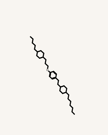 CCCCCCCC1CCC(CCc2ccc(OCCCC3CCC(CCCCC)CC3)cc2)CC1